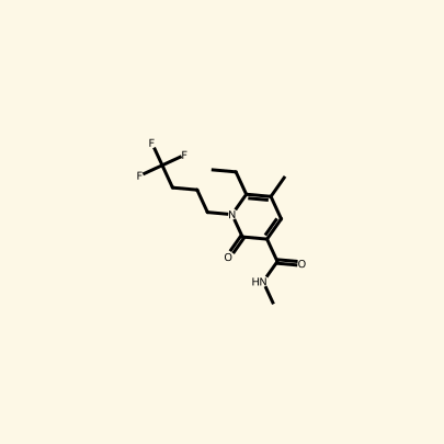 CCc1c(C)cc(C(=O)NC)c(=O)n1CCCC(F)(F)F